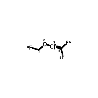 FC[O][Cf]=[C](F)F